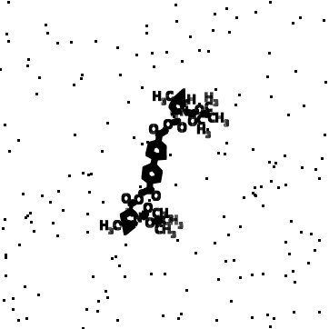 CC(C)(C)OC(=O)N1C2C[C@]2(C)C[C@H]1C(=O)OCC(=O)c1ccc(-c2ccc(C(=O)COC(=O)[C@@H]3C[C@@]4(C)C[C@H]4N3C(=O)OC(C)(C)C)cc2)cc1